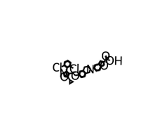 O=C(O)c1cc2cc(N3CCc4cc(OCc5c(-c6c(Cl)cccc6Cl)noc5C5CC5)ccc4C3)ccc2o1